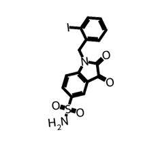 NS(=O)(=O)c1ccc2c(c1)C(=O)C(=O)N2Cc1ccccc1I